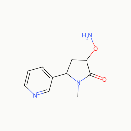 CN1C(=O)C(ON)CC1c1cccnc1